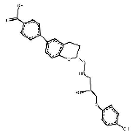 O=C(O)c1ccc(-c2ccc3c(c2)CC[C@H](CNC[C@H](O)COc2ccc(O)cc2)O3)cc1